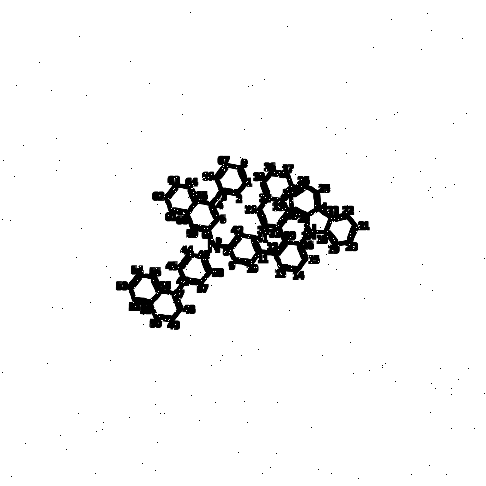 c1ccc(-c2cc(N(c3ccc(-c4cccc(-n5c6ccccc6c6ccccc65)c4-c4ccc5ccccc5c4)cc3)c3ccc(-c4cccc5ccccc45)cc3)cc3ccccc23)cc1